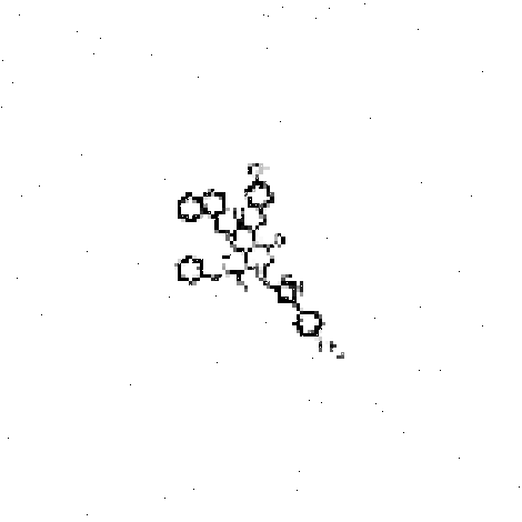 O=C1C(Cc2ccc(O)cc2)N2C(=O)CN(Cc3cc(-c4ccc(C(F)(F)F)cc4)no3)N(C(=O)NCc3ccccc3)C2CN1Cc1cccc2ccccc12